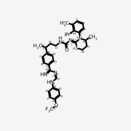 Cc1cccc(N2/C(=N/C(=O)NCCC(C)c3ccc(C(=N)/N=C\Nc4ccc(OC(F)(F)F)cc4)cc3)SCCC2C)c1C(C)C